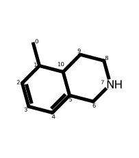 CC1C=CC=C2CNCCC21